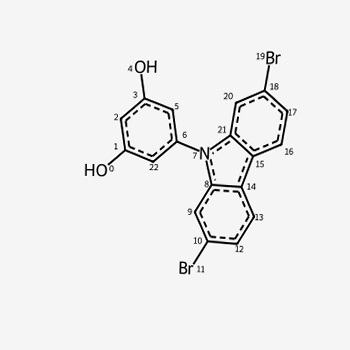 Oc1cc(O)cc(-n2c3cc(Br)ccc3c3ccc(Br)cc32)c1